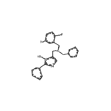 CCCCn1c(CN(Cc2ccccc2)Cc2cc(F)ccc2F)cnc1-c1ccccc1